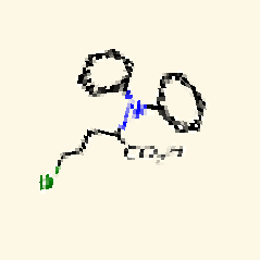 O=C(O)C(CCCBr)N(c1ccccc1)c1ccccc1